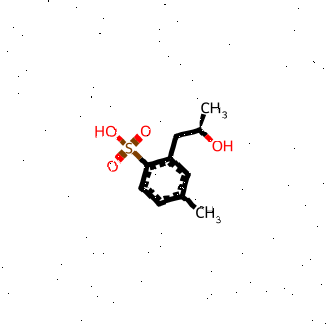 Cc1ccc(S(=O)(=O)O)c(C[C@@H](C)O)c1